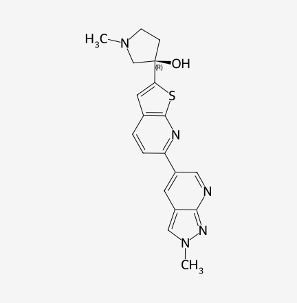 CN1CC[C@](O)(c2cc3ccc(-c4cnc5nn(C)cc5c4)nc3s2)C1